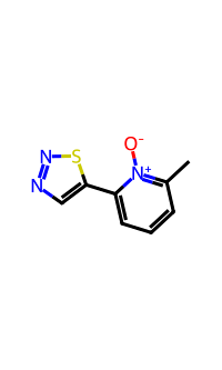 Cc1cccc(-c2cnns2)[n+]1[O-]